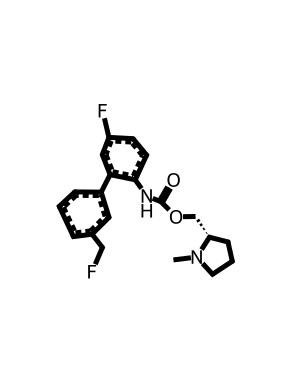 CN1CCC[C@H]1COC(=O)Nc1ccc(F)cc1-c1cccc(CF)c1